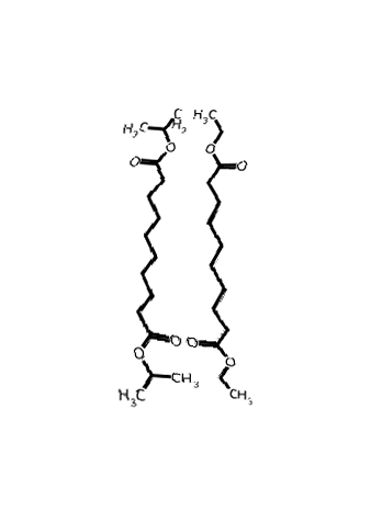 CC(C)OC(=O)CCCCCCCCC(=O)OC(C)C.CCOC(=O)CCCCCCCCC(=O)OCC